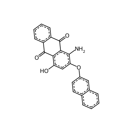 Nc1c(Oc2ccc3ccccc3c2)cc(O)c2c1C(=O)c1ccccc1C2=O